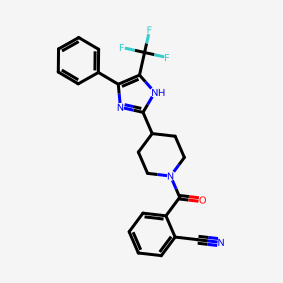 N#Cc1ccccc1C(=O)N1CCC(c2nc(-c3ccccc3)c(C(F)(F)F)[nH]2)CC1